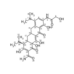 CN(C)c1cc(NC(=O)CO)c(O)c2c1CC1CC3[C@H](N(C)C)C(O)=C(C(N)=O)C(=O)C3(O)C(O)=C1C2=O